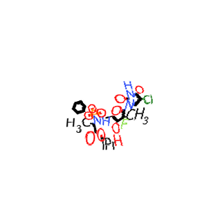 CC(C)OC(=O)[C@@H](C)N[P@@](=O)(OC[C@H]1O[C@@H](n2cc(Cl)c(=O)[nH]c2=O)[C@](C)(F)[C@@H]1O)Oc1ccccc1